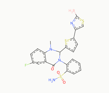 Bc1nc(-c2ccc(C3N(C)c4ccc(F)cc4C(=O)N3c3ccccc3S(N)(=O)=O)s2)cs1